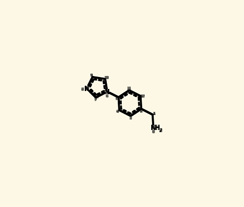 NCc1ccc(-n2[c]ncc2)cc1